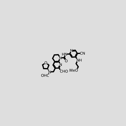 COCCNc1cc(NC(=O)N2CCCc3cc(CN(C=O)[C@H]4CCOC4)c(C=O)nc32)ncc1C#N